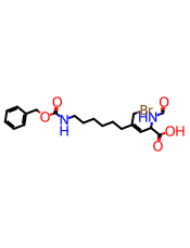 O=CNC(/C=C(\CBr)CCCCCCNC(=O)OCc1ccccc1)C(=O)O